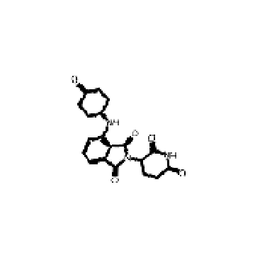 O=C1CCC(Nc2cccc3c2C(=O)N(C2CCC(=O)NC2=O)C3=O)CC1